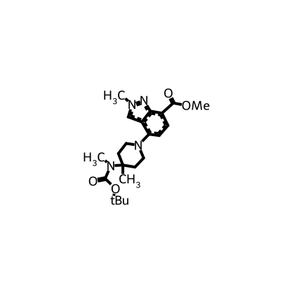 COC(=O)c1ccc(N2CCC(C)(N(C)C(=O)OC(C)(C)C)CC2)c2cn(C)nc12